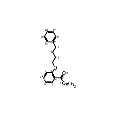 COC(=O)c1ccncc1OCCCCc1ccccc1